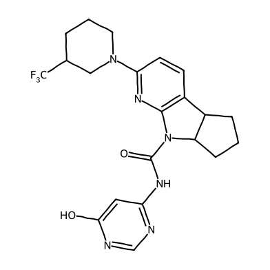 O=C(Nc1cc(O)ncn1)N1c2nc(N3CCCC(C(F)(F)F)C3)ccc2C2CCCC21